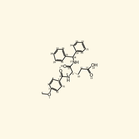 COc1ccc(C(=O)N[C@@H](CCC(=O)O)C(=O)NC(c2ccccc2)c2ccccc2)cc1